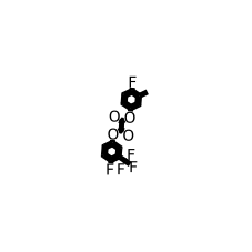 Cc1cc(OC(=O)C(=O)Oc2ccc(F)c(C(F)(F)F)c2)ccc1F